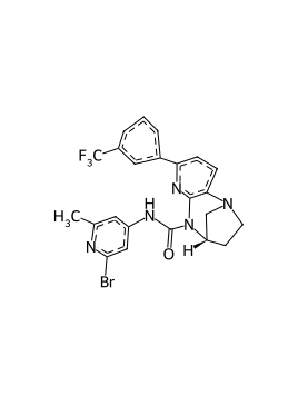 Cc1cc(NC(=O)N2c3nc(-c4cccc(C(F)(F)F)c4)ccc3N3CC[C@H]2C3)cc(Br)n1